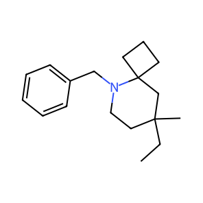 CCC1(C)CCN(Cc2ccccc2)C2(CCC2)C1